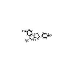 C[C@@H](NC1CC[C@H](c2ccc(=O)[nH]c2)C1)c1cccc(Cl)c1